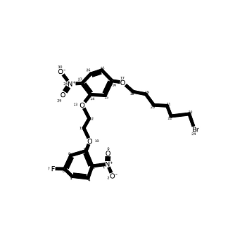 O=[N+]([O-])c1ccc(F)cc1OCCOc1cc(OCCCCCCBr)ccc1[N+](=O)[O-]